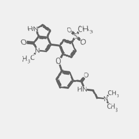 CN(C)CCNC(=O)c1cccc(Oc2ccc(S(C)(=O)=O)cc2-c2cn(C)c(=O)c3[nH]ccc23)c1